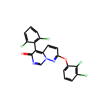 O=c1ncn2nc(Oc3cccc(Cl)c3Cl)ccc2c1-c1c(Cl)cccc1Cl